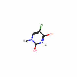 [2H]N1C=C(Cl)C(O)=NC1O.[K]